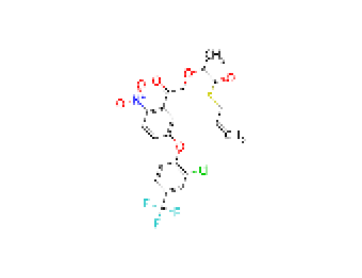 C=CCSC(=O)C(C)OCC(=O)c1cc(Oc2ccc(C(F)(F)F)cc2Cl)ccc1[N+](=O)[O-]